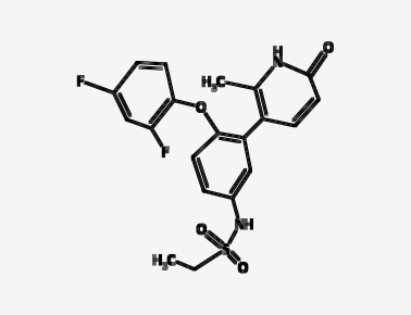 CCS(=O)(=O)Nc1ccc(Oc2ccc(F)cc2F)c(-c2ccc(=O)[nH]c2C)c1